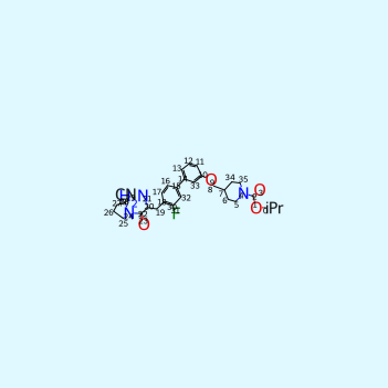 CC(C)OC(=O)N1CCC(COc2cccc(-c3ccc(CC(N)C(=O)N4CCC[C@H]4C#N)c(F)c3)c2)CC1